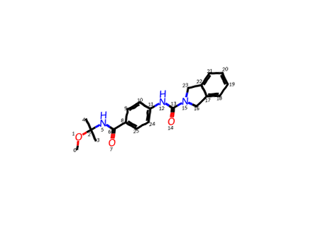 COC(C)(C)NC(=O)c1ccc(NC(=O)N2Cc3ccccc3C2)cc1